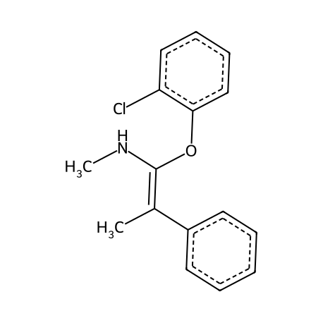 CNC(Oc1ccccc1Cl)=C(C)c1ccccc1